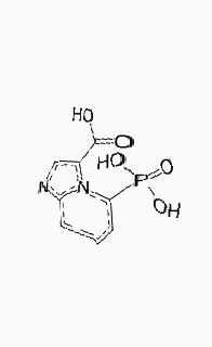 O=C(O)c1cnc2cccc(P(=O)(O)O)n12